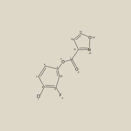 O=C(Oc1ccc(Cl)c(F)c1)c1ccon1